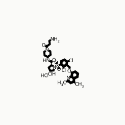 Cc1cc(C)c2cccc(OCc3c(Cl)ccc(S(=O)(=O)N4CCC[C@H]4C(=O)NC4CCN(C(=O)CCN)CC4)c3Cl)c2n1.Cl.Cl